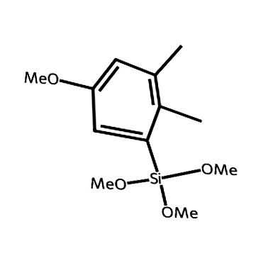 COc1cc(C)c(C)c([Si](OC)(OC)OC)c1